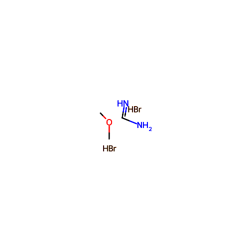 Br.Br.COC.N=CN